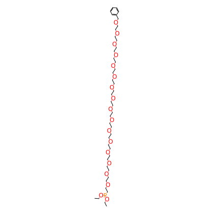 CCOP(CCOCCOCCOCCOCCOCCOCCOCCOCCOCCOCCOCCOCCOCCOCCOCCOCc1ccccc1)OCC